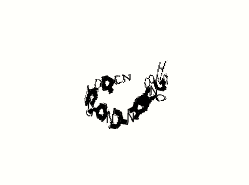 Cc1cc(O[C@@H]2CN(C(=O)c3ccc(N4CCC(CN5Cc6cc7c(cc6C5)C(=O)N(C5CCC(=O)NC5=O)C7=O)CC4)cc3)C[C@H]2C)ccc1C#N